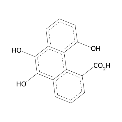 O=C(O)c1cccc2c(O)c(O)c3cccc(O)c3c12